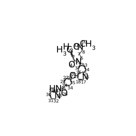 CC#CC(=O)N(CCCN(C)C)c1ccc2nccc(Oc3ccc(C(=O)Nc4ccccn4)cc3)c2c1